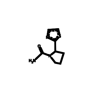 NC(=O)N1CCCC1c1nccs1